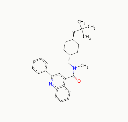 CN(C[C@H]1CC[C@H]([CH]C(C)(C)C)CC1)C(=O)c1cc(-c2ccccc2)nc2ccccc12